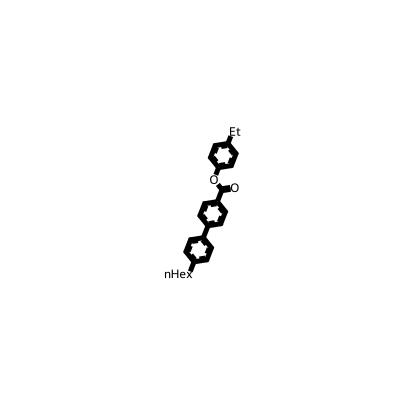 CCCCCCc1ccc(-c2ccc(C(=O)Oc3ccc(CC)cc3)cc2)cc1